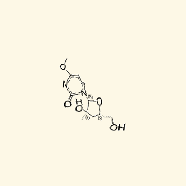 COc1ccn([C@@H]2O[C@H](CO)C[C@@]2(C)O)c(=O)n1